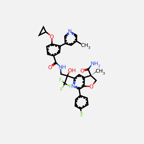 Cc1cncc(-c2cc(C(=O)NCC(O)(c3cc4c(c(-c5ccc(F)cc5)n3)OC[C@]4(C)C(N)=O)C(F)(F)F)ccc2OC2CC2)c1